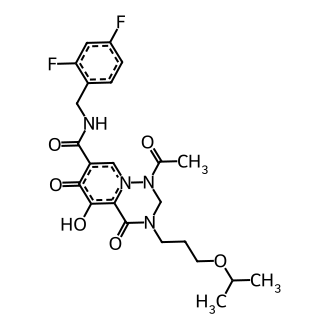 CC(=O)N1CN(CCCOC(C)C)C(=O)c2c(O)c(=O)c(C(=O)NCc3ccc(F)cc3F)cn21